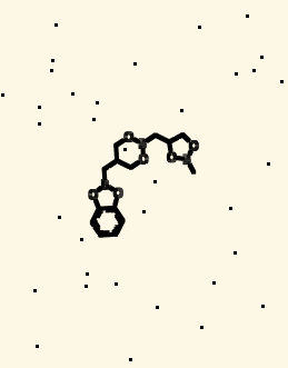 CB1OCC(CB2OCC(CB3Oc4ccccc4O3)CO2)O1